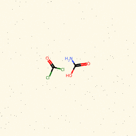 NC(=O)O.O=C(Cl)Cl